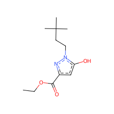 CCOC(=O)c1cc(O)n(CCC(C)(C)C)n1